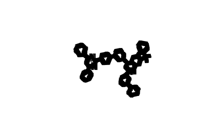 CC1(C)c2ccccc2-c2cc3c(-c4cccc(-c5ccc(-c6nc(-c7ccccc7)cc(-c7ccccc7)n6)cc5)c4)cc(-c4cccc(-c5ccccc5)c4)nc3cc21